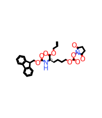 C=CCOC(=O)[C@@H](CCCCOC(=O)ON1C(=O)CCC1=O)NC(=O)OCC1c2ccccc2-c2ccccc21